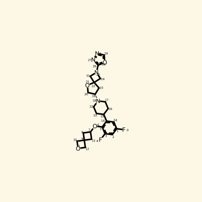 Fc1cc(F)c(OC2CC3(COC3)C2)c(C2CCN([C@@H]3COC4(C3)CN(c3nnco3)C4)CC2)c1